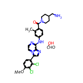 COc1ccc(-c2cnc3c(Nc4ccc(C(=O)N5CCC(CN)CC5)c(C)c4)nccn23)c(Cl)c1Cl.O=CO